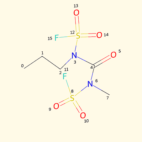 CCCN(C(=O)N(C)S(=O)(=O)F)S(=O)(=O)F